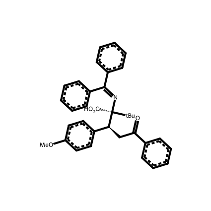 COc1ccc([C@H](CC(=O)c2ccccc2)[C@](N=C(c2ccccc2)c2ccccc2)(C(=O)O)C(C)(C)C)cc1